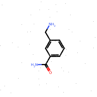 NCc1c[c]cc(C(N)=O)c1